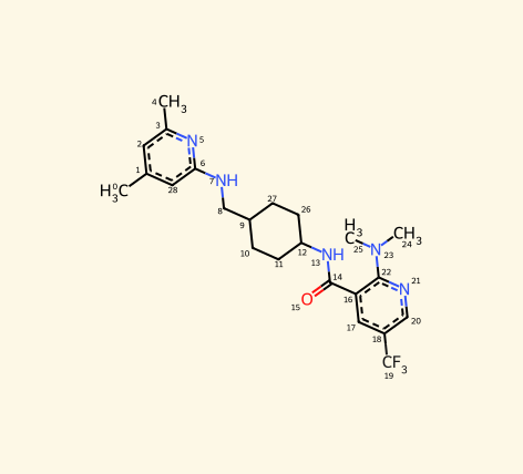 Cc1cc(C)nc(NCC2CCC(NC(=O)c3cc(C(F)(F)F)cnc3N(C)C)CC2)c1